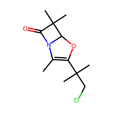 CC1=C(C(C)(C)CCl)OC2N1C(=O)C2(C)C